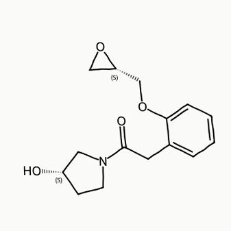 O=C(Cc1ccccc1OC[C@@H]1CO1)N1CC[C@H](O)C1